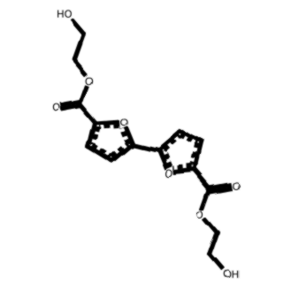 O=C(OCCO)c1ccc(-c2ccc(C(=O)OCCO)o2)o1